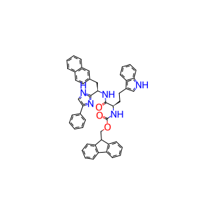 O=C(N[C@H](CCc1c[nH]c2ccccc12)C(=O)N[C@H](Cc1ccc2ccccc2c1)c1nc(-c2ccccc2)c[nH]1)OCC1c2ccccc2-c2ccccc21